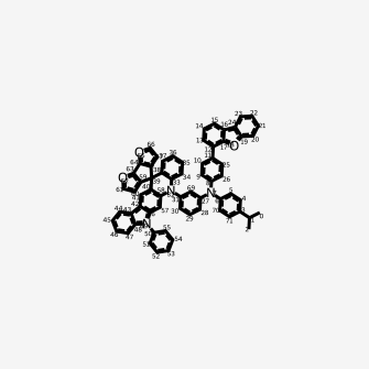 CC(C)c1ccc(N(c2ccc(-c3cccc4c3oc3ccccc34)cc2)c2cccc(N3c4ccccc4C4(c5cc6c7ccccc7n(-c7ccccc7)c6cc53)c3ccoc3-c3occc34)c2)cc1